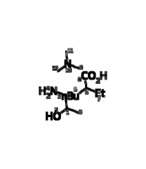 CC(O)CN.CCCCC(CC)C(=O)O.CN(C)C